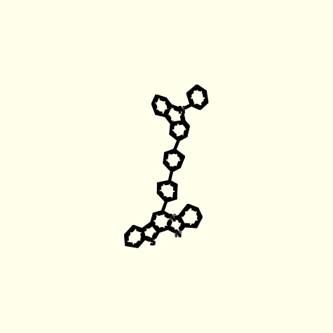 c1ccc(-n2c3ccccc3c3cc(-c4ccc(-c5ccc(-c6cc7c8ccccc8sc7c7nc8ccccc8n67)cc5)cc4)ccc32)cc1